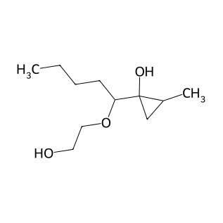 CCCCC(OCCO)C1(O)CC1C